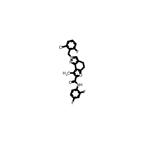 Cc1c(C(=O)Nc2ccc(F)cc2F)oc2c1-c1nn(Cc3c(F)cccc3Cl)cc1CC2